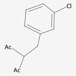 CC(=O)C(Cc1cccc(Cl)c1)C(C)=O